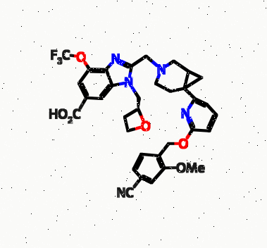 COc1cc(C#N)ccc1COc1cccc(C23CCN(Cc4nc5c(OC(F)(F)F)cc(C(=O)O)cc5n4C[C@@H]4CCO4)CC2C3)n1